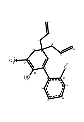 C=CCC1(CC=C)C=C(c2ccccc2O)C(O)=C([N+](=O)[O-])C1